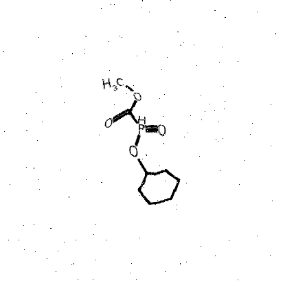 COC(=O)[PH](=O)OC1CCCCC1